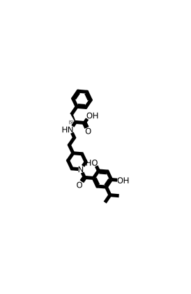 CC(C)c1cc(C(=O)N2CCC(CCN[C@@H](Cc3ccccc3)C(=O)O)CC2)c(O)cc1O